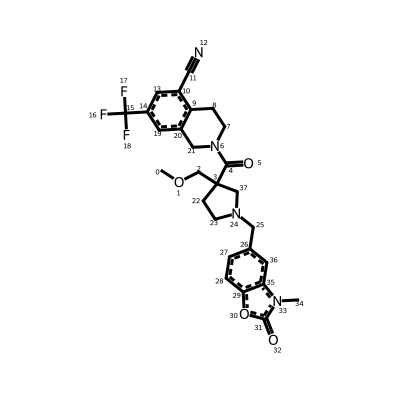 COCC1(C(=O)N2CCc3c(C#N)cc(C(F)(F)F)cc3C2)CCN(Cc2ccc3oc(=O)n(C)c3c2)C1